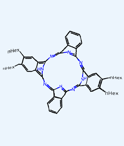 CCCCCCc1cc2c3nc4nc(nc5[nH]c(nc6nc(nc([nH]3)c2cc1CCCCCC)-c1ccccc1-6)c1cc(CCCCCC)c(CCCCCC)cc51)-c1ccccc1-4